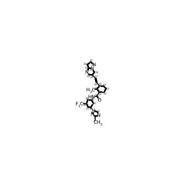 Cc1ncn(-c2cc(NC(=O)c3cccc(C#Cc4cnc5ccnn5c4)c3C)cc(C(F)(F)F)c2)n1